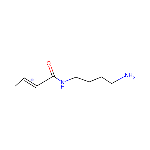 C/C=C/C(=O)NCCCCN